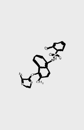 CC(=O)c1nccnc1Oc1c(C)ccc2c(NS(=O)(=O)c3ccccc3Cl)cccc12